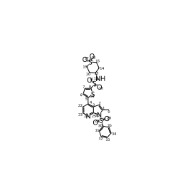 Cc1cc2c(-c3ccc(S(=O)(=O)NC4CCS(=O)(=O)CC4)s3)ccnc2n1S(=O)(=O)c1ccccc1